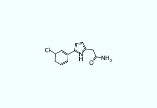 NC(=O)Cc1ccc(C2=CC(Cl)CC=C2)[nH]1